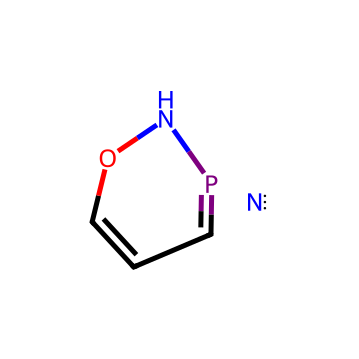 C1=CONP=C1.[N]